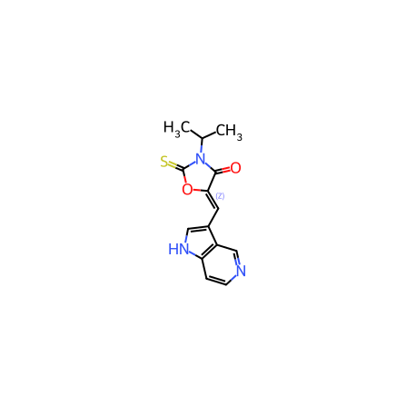 CC(C)N1C(=O)/C(=C/c2c[nH]c3ccncc23)OC1=S